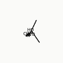 CCCCCCCCCCCCOCc1cc(COCCCCCCCCCCCC)cc(-c2nn3nc(C(C)(C)C)c(Cl)c3[nH]2)c1